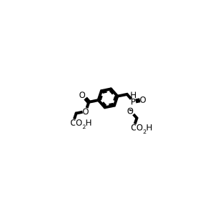 O=C(O)COC(=O)c1ccc(C[PH](=O)OCC(=O)O)cc1